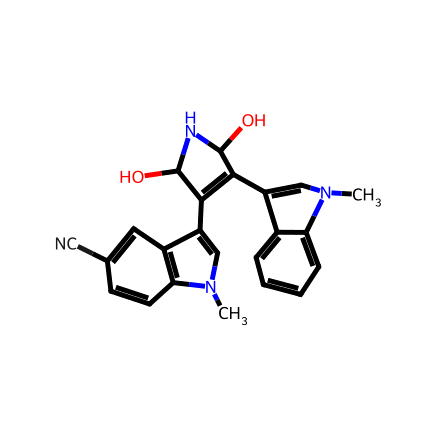 Cn1cc(C2=C(c3cn(C)c4ccc(C#N)cc34)C(O)NC2O)c2ccccc21